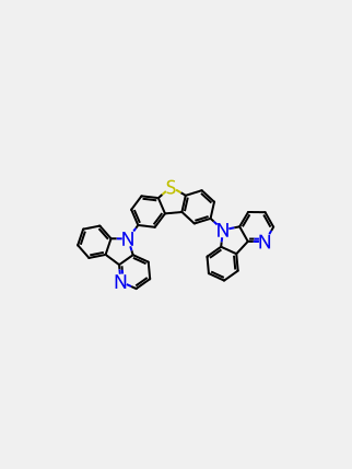 c1ccc2c(c1)c1ncccc1n2-c1ccc2sc3ccc(-n4c5ccccc5c5ncccc54)cc3c2c1